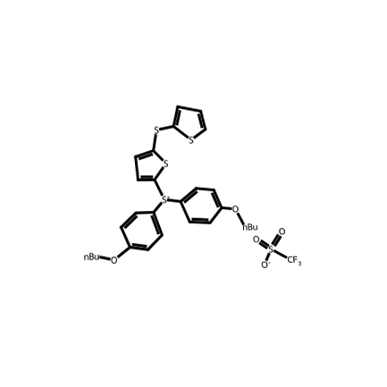 CCCCOc1ccc([S+](c2ccc(OCCCC)cc2)c2ccc(Sc3cccs3)s2)cc1.O=S(=O)([O-])C(F)(F)F